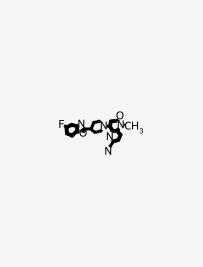 Cn1c(=O)cc(N2CCC(c3nc4cc(F)ccc4o3)CC2)c2nc(C#N)ccc21